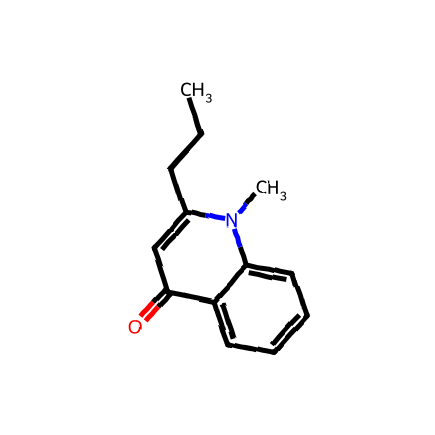 CCCc1cc(=O)c2ccccc2n1C